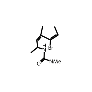 C/C=C(Br)\C(C)=C/C(C)NC(=O)NC